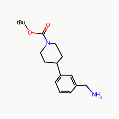 CC(C)(C)OC(=O)N1CCC(c2cccc(CN)c2)CC1